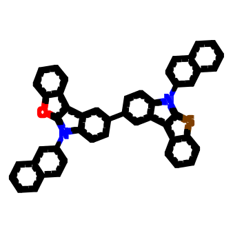 c1ccc2cc(-n3c4ccc(-c5ccc6c(c5)c5c7ccccc7sc5n6-c5ccc6ccccc6c5)cc4c4c5ccccc5oc43)ccc2c1